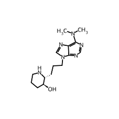 CN(C)c1ncnc2c1ncn2CCC[C@H]1NCCC[C@@H]1O